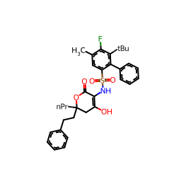 CCCC1(CCc2ccccc2)CC(O)=C(NS(=O)(=O)c2cc(C)c(F)c(C(C)(C)C)c2-c2ccccc2)C(=O)O1